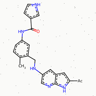 CC(=O)c1cc2cc(NCc3cc(NC(=O)c4cc[nH]c4)ccc3C)cnc2[nH]1